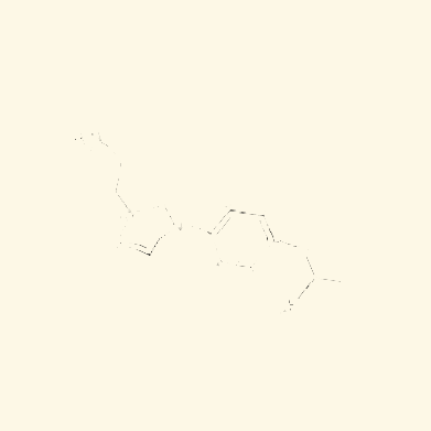 NCCN1C=CN(c2ccc(OC(F)F)cc2)C1